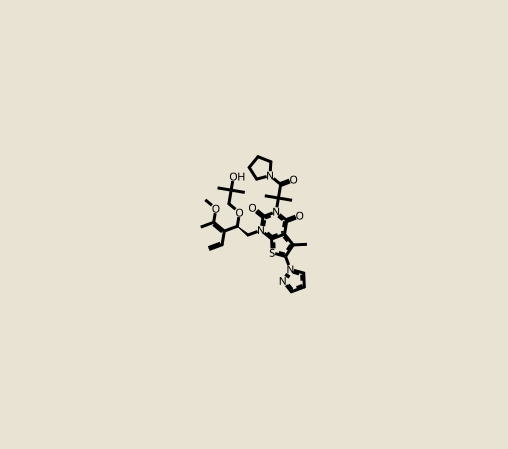 C=C/C(=C(\C)OC)[C@H](Cn1c(=O)n(C(C)(C)C(=O)N2CCCC2)c(=O)c2c(C)c(-n3cccn3)sc21)OCC(C)(C)O